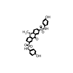 Cn1c2ccc(S(=O)(=O)Nc3ccc(O)cc3)cc2c(=O)c2cc(S(=O)(=O)Nc3ccc(O)cc3)ccc21